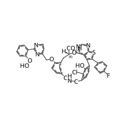 O=C(O)[C@H]1Cc2cc(ccc2OCc2ccnc(-c3ccccc3OO)n2)CNCc2ccc(c(O)c2Cl)-c2c(-c3ccc(F)cc3)sc3ncnc(c23)O1